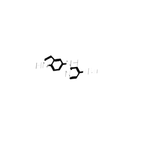 CC(C)(C)c1ccnc(Nc2ccc3[nH]ccc3c2)c1